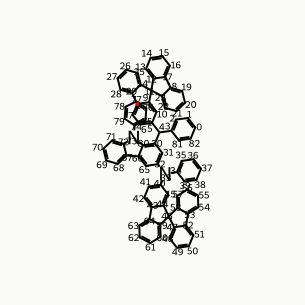 c1ccc(C(c2ccc3c(c2)C2(c4ccccc4-c4ccccc42)c2ccccc2-3)c2cc(N(c3ccccc3)c3ccc4c(c3)C3(c5ccccc5-c5ccccc53)c3ccccc3-4)cc3c4ccccc4n(-c4ccccc4)c23)cc1